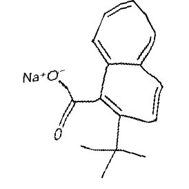 CC(C)(C)c1ccc2ccccc2c1C(=O)[O-].[Na+]